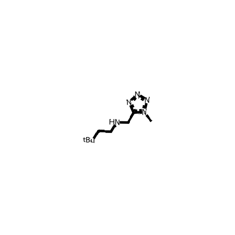 Cn1nnnc1CNCCC(C)(C)C